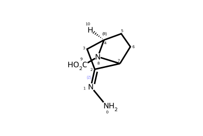 N/N=C1/C[C@H]2CCC1N2C(=O)O